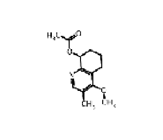 COc1c(C)cnc2c1CCCC2OC(C)=O